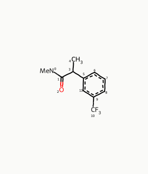 CNC(=O)C(C)c1cccc(C(F)(F)F)c1